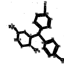 C[C@@H]1CN[C@@H](C)CN1C(c1ccc(F)cc1)c1ccc(C#N)cc1